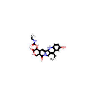 CCNC(=O)OC1C(=O)OCc2c1cc1n(c2=O)CC2=C(CC)c3cc(O)ccc3NC21